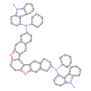 Cn1c2ccccc2c2c(N(c3ccccc3)c3ccc4cc5c(cc4c3)oc3ccc4oc6cc7cc(N(c8ccccc8)c8cccc9c8c8ccccc8n9C)ccc7cc6c4c35)cccc21